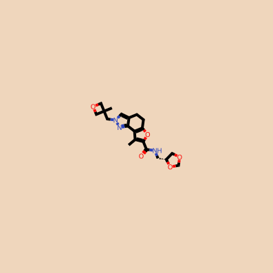 Cc1c(C(=O)NC[C@@H]2COCO2)oc2c1-c1nn(CC3(C)COC3)cc1CC2